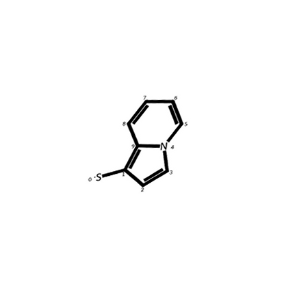 [S]c1ccn2ccccc12